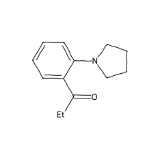 CCC(=O)c1ccccc1N1CCCC1